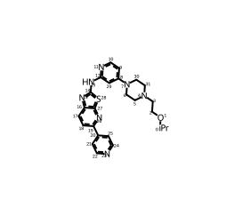 CC(C)OCCN1CCN(c2ccnc(Nc3nc4ccc(-c5ccncc5)nc4s3)c2)CC1